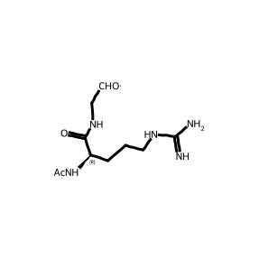 CC(=O)N[C@H](CCCNC(=N)N)C(=O)NC[C]=O